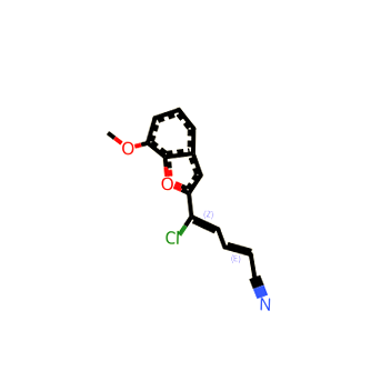 COc1cccc2cc(/C(Cl)=C/C=C/C#N)oc12